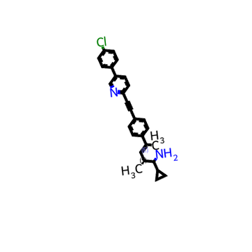 C/C(=C\[C@H](C)C(N)C1CC1)c1ccc(C#Cc2ccc(-c3ccc(Cl)cc3)cn2)cc1